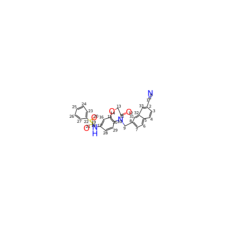 N#Cc1ccc2ccc(CN3C(=O)COc4cc(NS(=O)(=O)c5ccccc5)ccc43)cc2c1